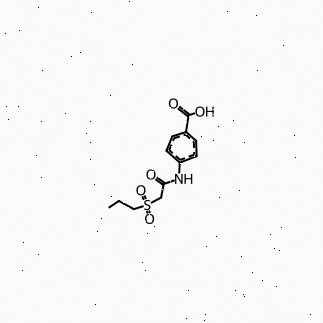 CCCS(=O)(=O)CC(=O)Nc1ccc(C(=O)O)cc1